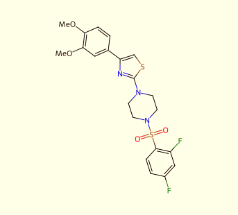 COc1ccc(-c2csc(N3CCN(S(=O)(=O)c4ccc(F)cc4F)CC3)n2)cc1OC